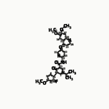 COc1ccc(-c2cn(C(C)C)cc(C(=O)Nc3ccc(Oc4ccnc5cc(OC)c(OC)cc45)cn3)c2=O)c(F)c1